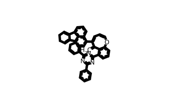 C=C1/C(c2ccc3c4c(cccc24)C2=CCCC=C23)=C\C=C/Oc2cccc(-c3nc(C4=CCCC=C4)nc(-c4ccccc4)n3)c21